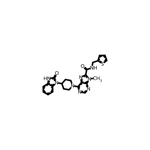 Cn1c(C(=O)NCc2cccs2)nc2c(N3CCC(n4c(=O)[nH]c5ccccc54)CC3)ncnc21